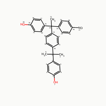 CC(C)(c1ccc(O)cc1)c1ccc(C(C)(c2ccc(O)cc2)c2ccc(N=O)cc2)cc1